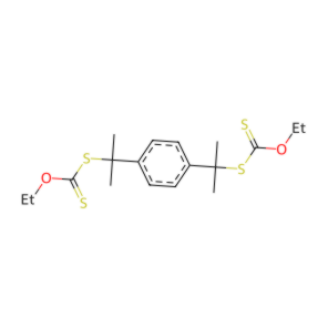 CCOC(=S)SC(C)(C)c1ccc(C(C)(C)SC(=S)OCC)cc1